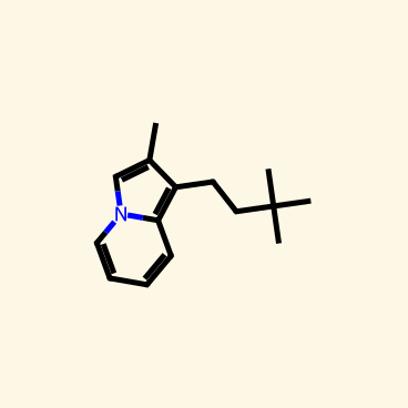 Cc1cn2ccccc2c1CCC(C)(C)C